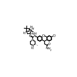 C[C@H]1[C@@H](/N=C(\Nc2ccc(C(CC(N)=O)c3ccc(Cl)cc3Cl)cc2)N2CCN[C@@H](C)C2)C[C@@H]2C[C@H]1C2(C)C